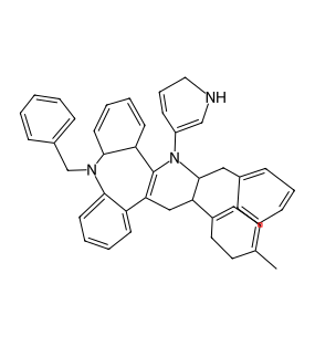 CC1=CC=C(C2CC3=C(C4C=CC=CC4N(Cc4ccccc4)c4ccccc43)N(C3=CNCC=C3)C2Cc2ccccc2)CC1